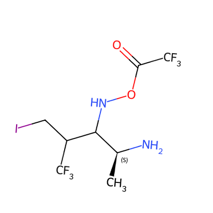 C[C@H](N)C(NOC(=O)C(F)(F)F)C(CI)C(F)(F)F